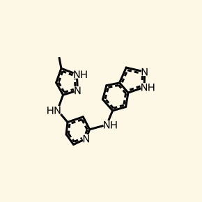 Cc1cc(Nc2ccnc(Nc3ccc4cn[nH]c4c3)c2)n[nH]1